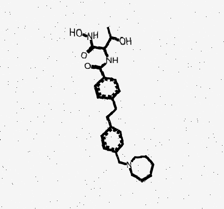 CC(O)C(NC(=O)c1ccc(CCc2ccc(CN3CCCCCC3)cc2)cc1)C(=O)NO